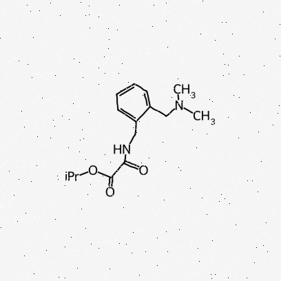 CC(C)OC(=O)C(=O)NCc1ccccc1CN(C)C